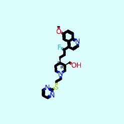 COc1ccc2nccc(C(F)CC[C@@H]3CCN(CCSc4ncccn4)C[C@@H]3CO)c2c1